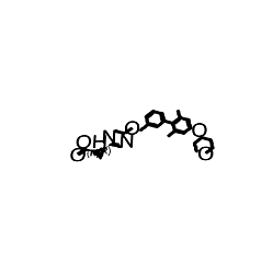 Cc1cc(OC2CCOCC2)cc(C)c1-c1cccc(COc2cnc([C@@H]3C[C@H]3C(=O)O)cn2)c1